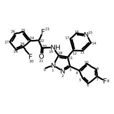 Cn1nc(-c2ccc(F)cc2)c(-c2ccncc2)c1NC(=O)C(F)c1ccccc1F